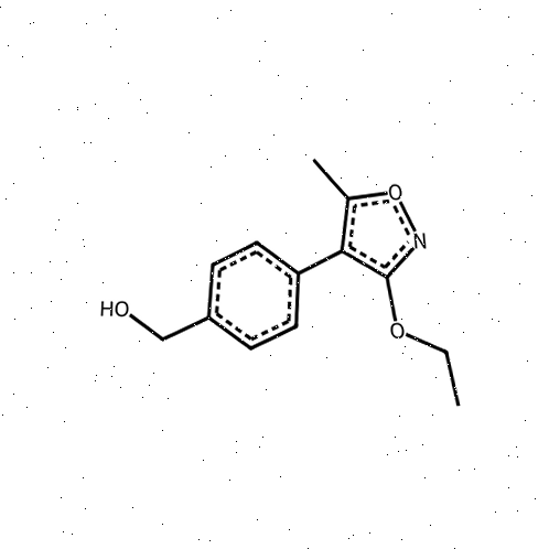 CCOc1noc(C)c1-c1ccc(CO)cc1